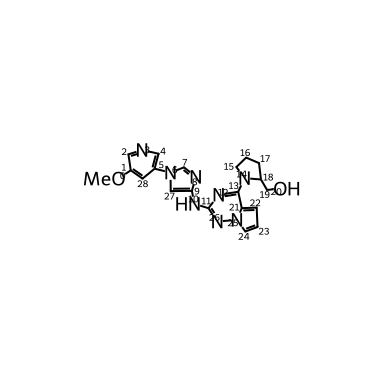 COc1cncc(-n2cnc(Nc3nc(N4CCCC4CO)c4cccn4n3)c2)c1